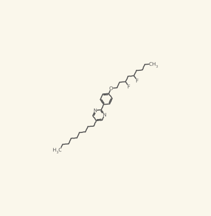 CCCCCCCCCc1cnc(-c2ccc(OCCC(F)CC(F)CCCC)cc2)nc1